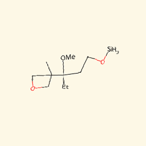 CCC(CCO[SiH3])(OC)C1(C)COC1